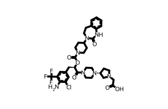 Nc1c(Cl)cc(C[C@@H](OC(=O)N2CCC(N3CCc4ccccc4NC3=O)CC2)C(=O)N2CCN([C@@H]3CCN(CC(=O)O)C3)CC2)cc1C(F)(F)F